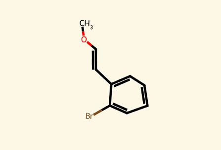 COC=Cc1ccccc1Br